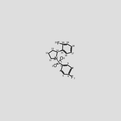 O=S(=O)(c1ccc(F)cc1)N1CCC[C@H]1c1ccccc1F